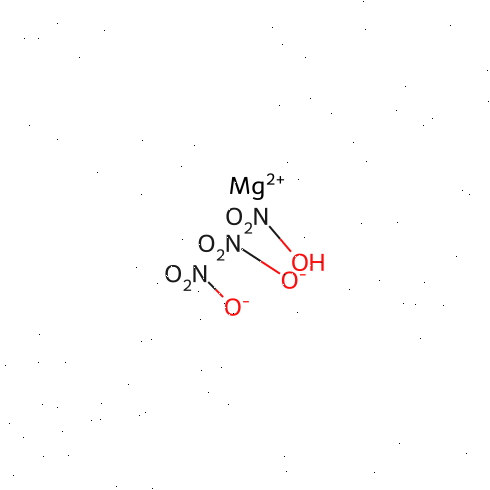 O=[N+]([O-])O.O=[N+]([O-])[O-].O=[N+]([O-])[O-].[Mg+2]